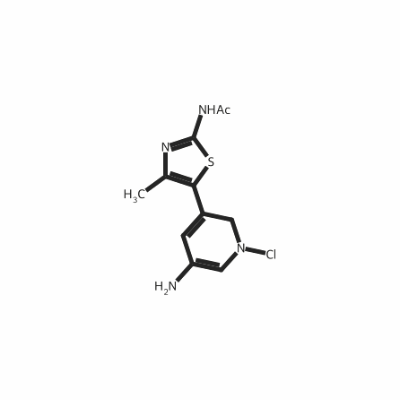 CC(=O)Nc1nc(C)c(C2=CC(N)=CN(Cl)C2)s1